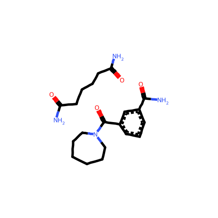 NC(=O)CCCCC(N)=O.NC(=O)c1cccc(C(=O)N2CCCCCC2)c1